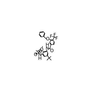 COc1c(NC(=O)c2ccc(C(F)(F)F)c(OCc3ccccc3)c2)cc(C(C)(C)C)cc1NS(C)(=O)=O